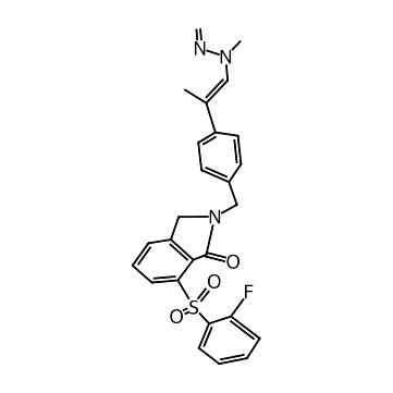 C=NN(C)/C=C(\C)c1ccc(CN2Cc3cccc(S(=O)(=O)c4ccccc4F)c3C2=O)cc1